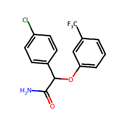 NC(=O)C(Oc1cccc(C(F)(F)F)c1)c1ccc(Cl)cc1